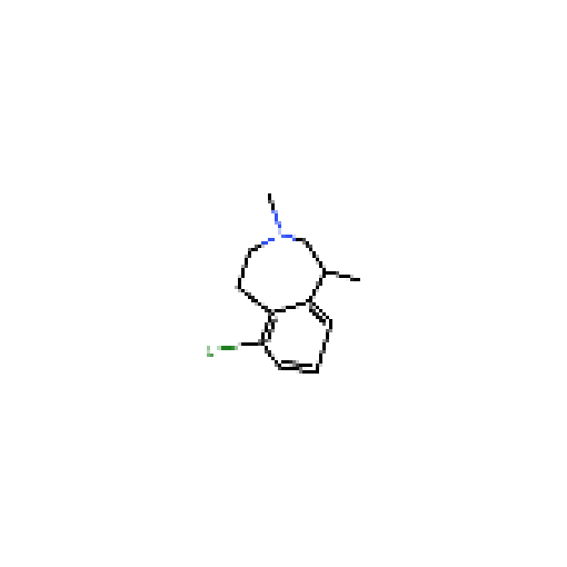 CC1CN(C)CCc2c(Cl)cccc21